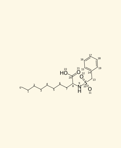 CCCCCCCCC(NS(=O)(=O)Cc1ccccc1)C(=O)O